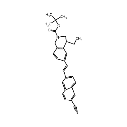 CCC1CN(C(=O)OC(C)(C)C)Cc2ccc(/C=C/c3ccc4cc(C#N)ccc4c3)cc21